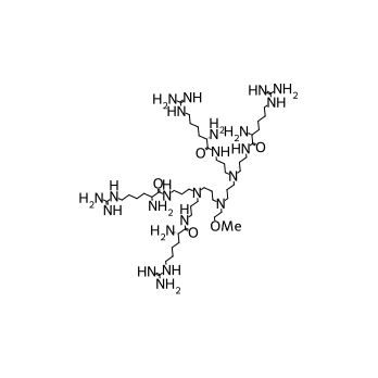 COCCN(CCCN(CCCNC(=O)[C@@H](N)CCCCNC(=N)N)CCCNC(=O)[C@@H](N)CCCCNC(=N)N)CCCN(CCCNC(=O)[C@@H](N)CCCCNC(=N)N)CCCNC(=O)[C@@H](N)CCCCNC(=N)N